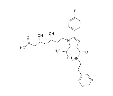 CC(C)c1c(C(=O)NCCc2cccnc2)nc(-c2ccc(F)cc2)n1CC[C@@H](O)C[C@@H](O)CC(=O)O